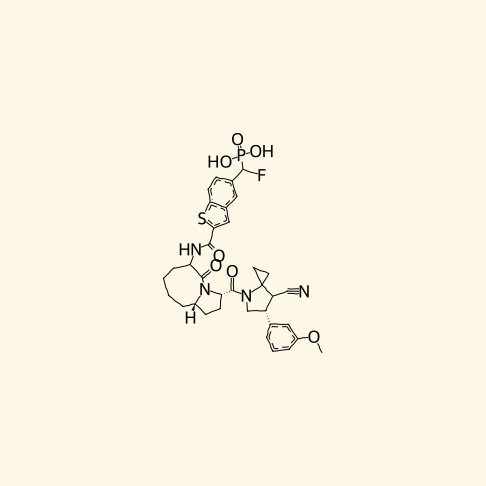 COc1cccc([C@@H]2CN(C(=O)[C@@H]3CC[C@@H]4CCCCC(NC(=O)c5cc6cc(C(F)P(=O)(O)O)ccc6s5)C(=O)N43)C3(CC3)C2C#N)c1